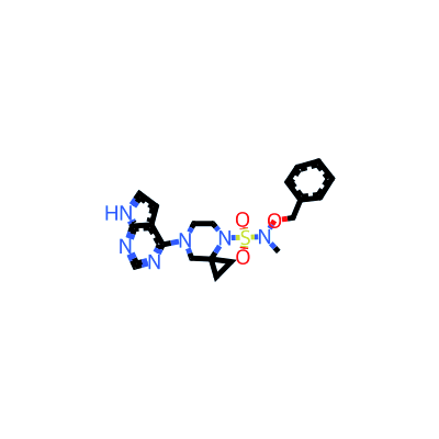 CN(OCc1ccccc1)S(=O)(=O)N1CCN(c2ncnc3[nH]ccc23)CC12CC2